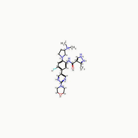 CN(C)[C@@H]1CCN(c2cc(F)c(-c3cnc(N4CCOCC4)nc3)cc2NC(=O)c2c[nH]nc2C(F)(F)F)C1